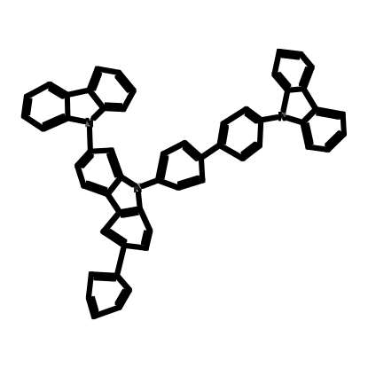 c1ccc(-c2ccc3c(c2)c2ccc(-n4c5ccccc5c5ccccc54)cc2n3-c2ccc(-c3ccc(-n4c5ccccc5c5ccccc54)cc3)cc2)cc1